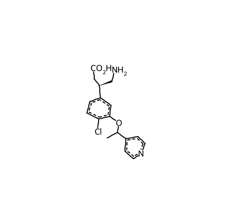 CC(Oc1cc([C@H](CN)CC(=O)O)ccc1Cl)c1ccncc1